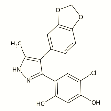 Cc1[nH]nc(-c2cc(Cl)c(O)cc2O)c1-c1ccc2c(c1)OCO2